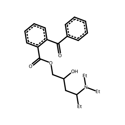 CCC(CC(O)COC(=O)c1ccccc1C(=O)c1ccccc1)N(CC)CC